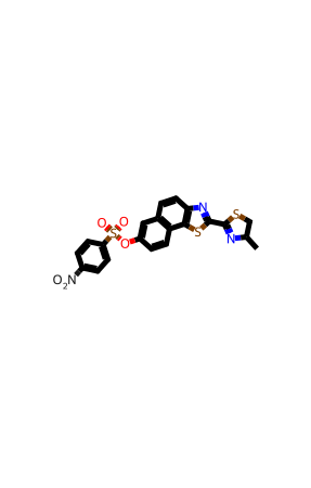 CC1CSC(c2nc3ccc4cc(OS(=O)(=O)c5ccc([N+](=O)[O-])cc5)ccc4c3s2)=N1